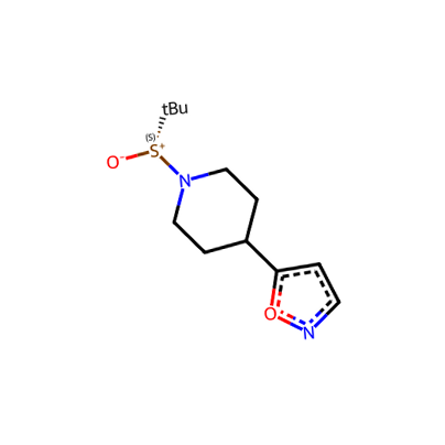 CC(C)(C)[S@@+]([O-])N1CCC(c2ccno2)CC1